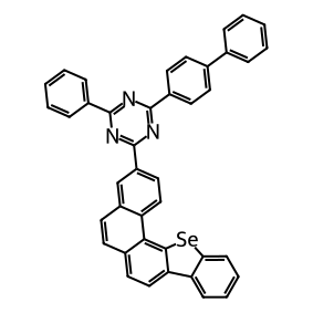 c1ccc(-c2ccc(-c3nc(-c4ccccc4)nc(-c4ccc5c(ccc6ccc7c8ccccc8[se]c7c65)c4)n3)cc2)cc1